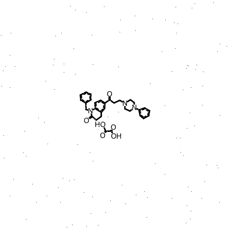 O=C(CCN1CCN(c2ccccc2)CC1)c1ccc2c(c1)CCC(=O)N2Cc1ccccc1.O=C(O)C(=O)O